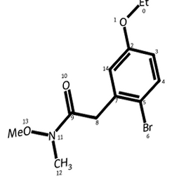 CCOc1ccc(Br)c(CC(=O)N(C)OC)c1